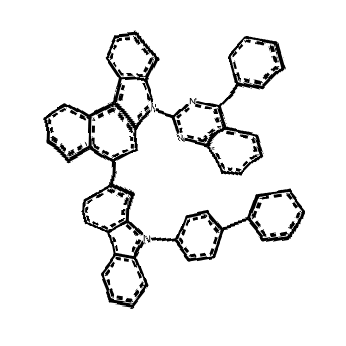 c1ccc(-c2ccc(-n3c4ccccc4c4ccc(-c5cc6c(c7ccccc57)c5ccccc5n6-c5nc(-c6ccccc6)c6ccccc6n5)cc43)cc2)cc1